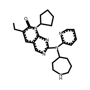 CCc1cc2cnc(N(c3ccccn3)C3CCCNCC3)nc2n(C2CCCC2)c1=O